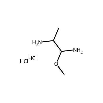 COC(N)C(C)N.Cl.Cl